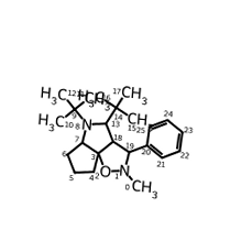 CN1OC23CCCC2N(C(C)(C)C)C(C(C)(C)C)C3C1c1ccccc1